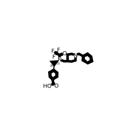 O=C(O)c1ccc([C@H]2C[C@@H]2N(CC2CCN(Cc3ccccc3)CC2)C(=O)C(F)(F)F)cc1